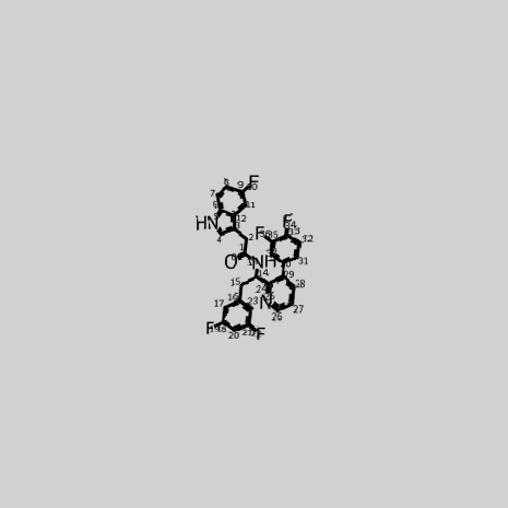 O=C(Cc1c[nH]c2ccc(F)cc12)NC(Cc1cc(F)cc(F)c1)c1ncccc1-c1ccc(F)c(F)c1